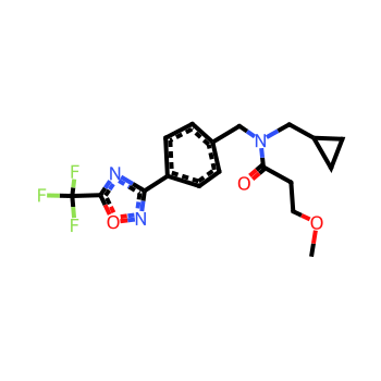 COCCC(=O)N(Cc1ccc(-c2noc(C(F)(F)F)n2)cc1)CC1CC1